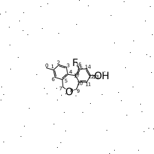 Cc1ccc2c(c1)COCc1cc(O)cc(F)c1-2